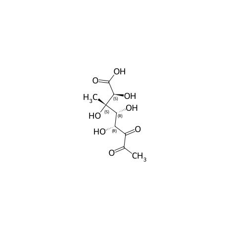 CC(=O)C(=O)[C@H](O)[C@@H](O)[C@](C)(O)[C@H](O)C(=O)O